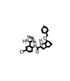 O=C(Nc1ccc(Cl)cc1-c1nnn[nH]1)c1cc2cccc(OCc3ccccc3)c2[nH]1